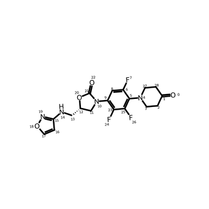 O=C1CCN(c2c(F)cc(N3C[C@H](CNc4ccon4)OC3=O)c(F)c2F)CC1